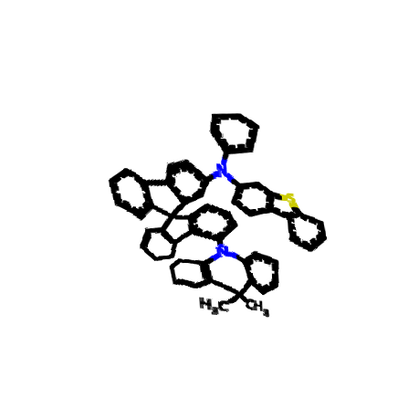 CC1(C)C2=C(CCC=C2)N(c2cccc3c2C2=C(C=CCC2)C32c3ccccc3-c3ccc(N(c4ccccc4)c4ccc5c(c4)sc4ccccc45)cc32)c2ccccc21